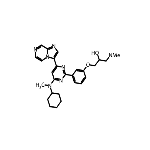 CNCC(O)COc1cccc(-c2nc(-c3cnc4cnccn34)cc(N(C)C3CCCCC3)n2)c1